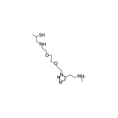 CC(S)CNCCOCCOCCn1nncc1CCNC(C)C